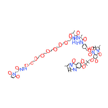 COc1cc2c(cc1OCC(C)(C)C(C)(C)Oc1cc3c(cc1OC)C(=O)N1C=C(C)C[C@H]1C=N3)N(C(=O)OCc1ccc(NC(=O)[C@H](C)NC(=O)[C@@H](NC(=O)CCOCCOCCOCCOCCOCCOCCOCCOCCNC(=O)CCN3C(=O)C=CC3=O)C(C)C)cc1)[C@@H](O)[C@@H]1CC(C)=CN1C2=O